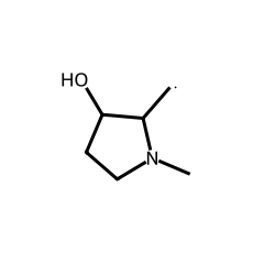 [CH2]C1C(O)CCN1C